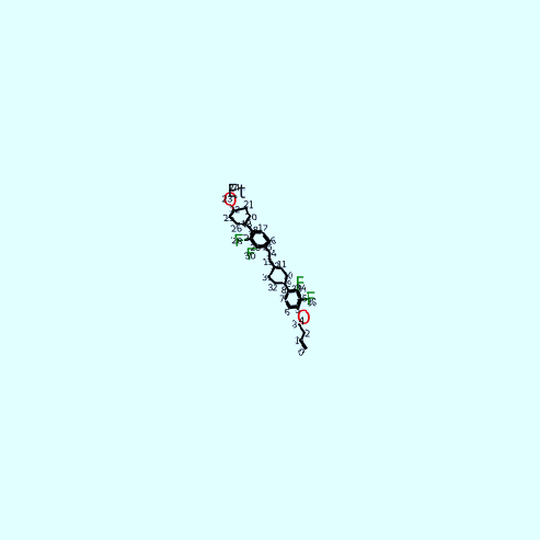 C=CCCOc1ccc(C2CCC(CCc3ccc(C4CCC(OCC)CC4)c(F)c3F)CC2)c(F)c1F